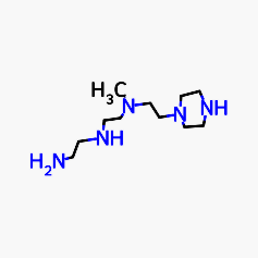 CN(CCNCCN)CCN1CCNCC1